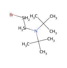 CC(C)(C)N([SiH2][SiH2]Br)C(C)(C)C